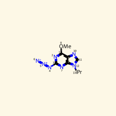 COc1nc(N=[N+]=[N-])nc2c1ncn2C(C)C